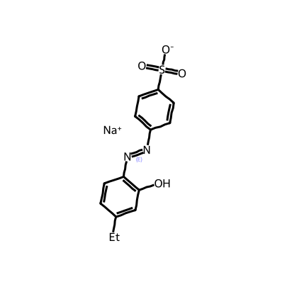 CCc1ccc(/N=N/c2ccc(S(=O)(=O)[O-])cc2)c(O)c1.[Na+]